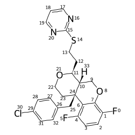 Fc1ccc(F)c2c1OC[C@H]1[C@H](CCSc3ncccn3)OCC[C@@]21Cc1ccc(Cl)cc1